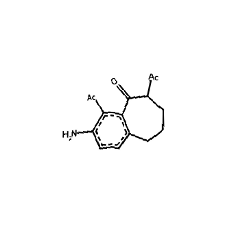 CC(=O)c1c(N)ccc2c1C(=O)C(C(C)=O)CCC2